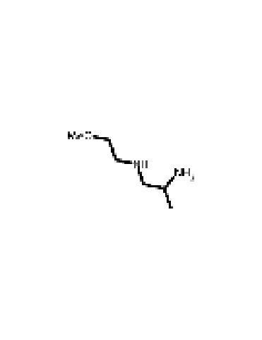 COCCNCC(C)N